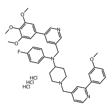 COc1cccc(-c2cc(CN3CCC(N(Cc4cncc(-c5cc(OC)c(OC)c(OC)c5)c4)c4ccc(F)cc4)CC3)ccn2)c1.Cl.Cl.Cl